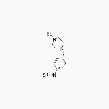 CCN1CCN(Cc2ccc(N=C=S)cc2)CC1